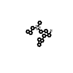 N#Cc1cccc(-c2cccc(-c3ccc4c5c(cccc35)-c3ccccc3-4)c2)c1-c1cccc(-c2cccc(-c3nc(-c4ccccc4)nc(-c4cccc(-c5cccc6ccccc56)c4)n3)c2)c1